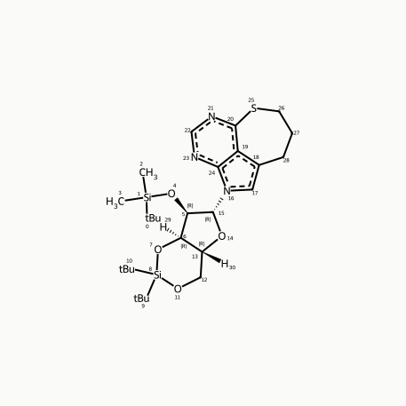 CC(C)(C)[Si](C)(C)O[C@@H]1[C@@H]2O[Si](C(C)(C)C)(C(C)(C)C)OC[C@H]2O[C@H]1n1cc2c3c(ncnc31)SCCC2